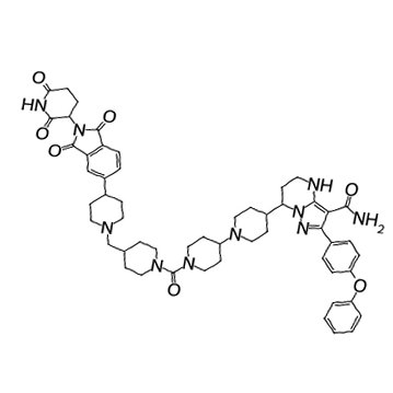 NC(=O)c1c(-c2ccc(Oc3ccccc3)cc2)nn2c1NCCC2C1CCN(C2CCN(C(=O)N3CCC(CN4CCC(c5ccc6c(c5)C(=O)N(C5CCC(=O)NC5=O)C6=O)CC4)CC3)CC2)CC1